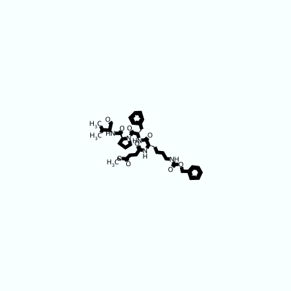 COC(=O)CCC(=O)N[C@@H](CCCCNC(=O)OCc1ccccc1)C(=O)N[C@@H](Cc1ccccc1)C(=O)N1CCC[C@H]1C(=O)N[C@H](C=O)C(C)C